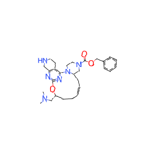 CN(C)CC1CC/C=C\CC2CN(C(=O)OCc3ccccc3)CCN2c2nc(nc3c2CCNC3)O1